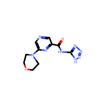 O=C(Nc1nnn[nH]1)c1cncc(N2CCOCC2)n1